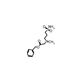 CN(CCCS(N)(=O)=O)CC(=O)OCc1ccccc1